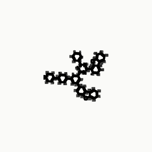 c1ccc(-c2nc(-c3cc(-c4ccc(-c5ccncc5)cc4)cc(-c4ccc5oc6ccccc6c5c4)c3)nc(-c3cccc4c3oc3ccccc34)n2)cc1